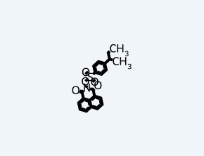 CCC(C)c1ccc(S(=O)(=O)ON2C(=O)c3cccc4cccc(c34)C2=O)cc1